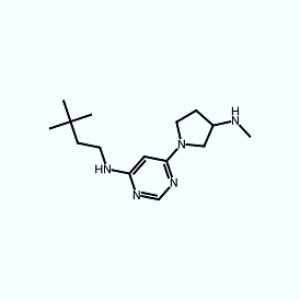 CNC1CCN(c2cc(NCCC(C)(C)C)ncn2)C1